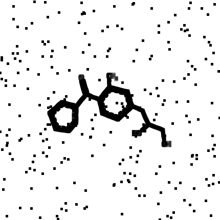 Cc1cc(CC(O)CO)ccc1C(=O)c1ccccc1